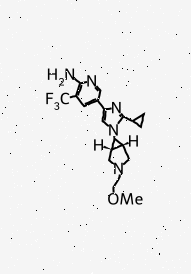 COCCN1C[C@@H]2[C@H](C1)[C@H]2n1cc(-c2cnc(N)c(C(F)(F)F)c2)nc1C1CC1